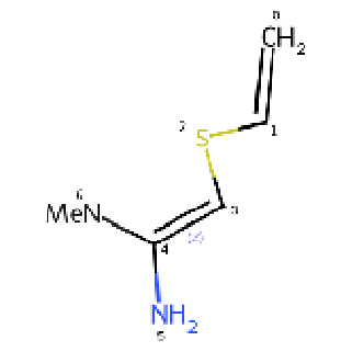 C=CS/C=C(/N)NC